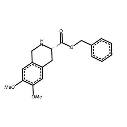 COc1cc2c(cc1OC)C[C@@H](C(=O)OCc1ccccc1)NC2